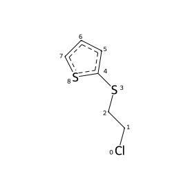 ClCCSc1cccs1